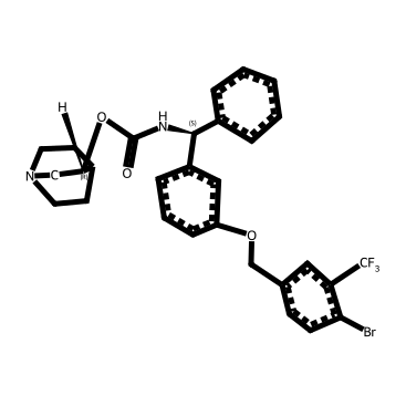 O=C(N[C@@H](c1ccccc1)c1cccc(OCc2ccc(Br)c(C(F)(F)F)c2)c1)O[C@H]1CN2CCC1CC2